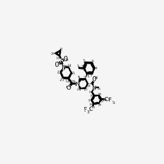 Cc1ccccc1[C@@H]1CN(C(=O)C2CCN(S(=O)(=O)C3CC3)CC2)CC[C@H]1C(=O)N(C)Cc1cc(C(F)(F)F)cc(C(F)(F)F)c1